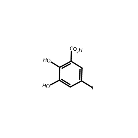 O=C(O)c1cc(I)cc(O)c1O